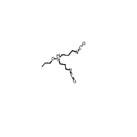 CCCO[SiH](CCCN=C=O)CCCN=C=O